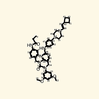 CCC(=O)Nc1ccc(CN2C(=O)N(c3cc(OC)cc(OC)c3)Cc3cnc(Nc4ccc(N5CCN(/C=C/C6CCC6)CC5)cc4)nc32)cc1